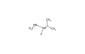 CN[SiH](F)C(C)C